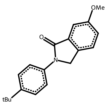 COc1ccc2c(c1)C(=O)N(c1ccc(C(C)(C)C)cc1)C2